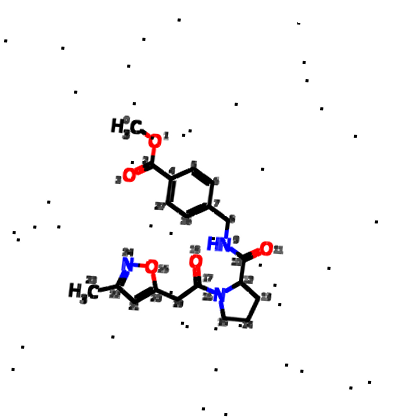 COC(=O)c1ccc(CNC(=O)C2CCCN2C(=O)Cc2cc(C)no2)cc1